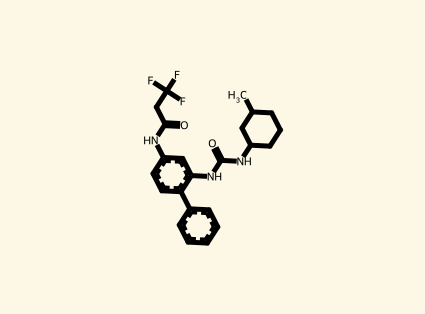 CC1CCCC(NC(=O)Nc2cc(NC(=O)CC(F)(F)F)ccc2-c2ccccc2)C1